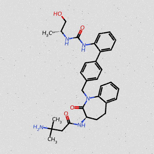 C[C@H](CO)NC(=O)Nc1ccccc1-c1ccc(CN2C(=O)[C@H](NC(=O)CC(C)(C)N)CCc3ccccc32)cc1